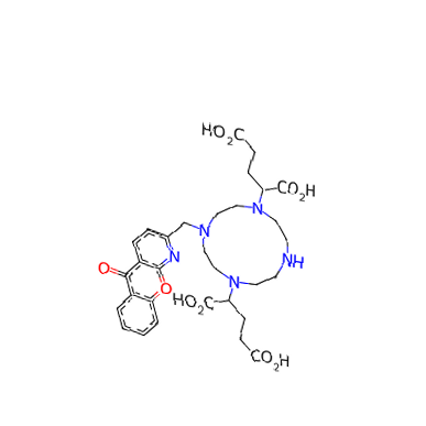 O=C(O)CCC(C(=O)O)N1CCNCCN(C(CCC(=O)O)C(=O)O)CCN(Cc2ccc3c(=O)c4ccccc4oc3n2)CC1